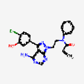 C=CC(=O)N(CCn1nc(-c2ccc(Br)c(O)c2)c2c(N)ncnc21)c1ccccc1